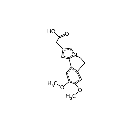 COc1cc2c(cc1OC)-c1cc(CC(=O)O)cn1CC2